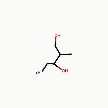 [CH2]CCCC(O)C(C)CO